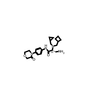 NC[C@H](C(=O)Nc1ccc(N2CCOCC2=O)cc1)N(CC1CCC1)CC1CC1